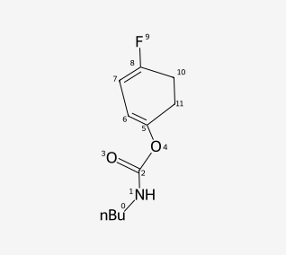 CCCCNC(=O)OC1=CC=C(F)CC1